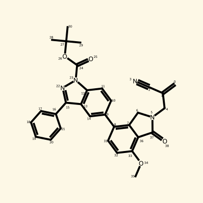 C=C(C#N)CN1Cc2c(-c3ccc4c(c3)c(-c3ccccc3)nn4C(=O)OC(C)(C)C)ccc(OC)c2C1=O